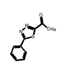 COC(=O)c1nnc(-c2ccccc2)s1